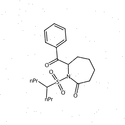 CCCC(CCC)S(=O)(=O)N1C(=O)CCCCC1C(=O)c1ccccc1